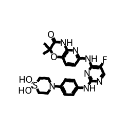 CC1(C)Oc2ccc(Nc3nc(Nc4ccc(N5CCS(O)(O)CC5)cc4)ncc3F)nc2NC1=O